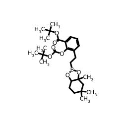 CC1(C)CCC2OB(CCc3cccc(C(=O)OC(C)(C)C)c3OC(=O)OC(C)(C)C)OC2(C)C1